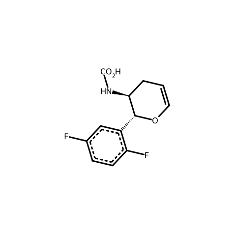 O=C(O)N[C@H]1CC=CO[C@@H]1c1cc(F)ccc1F